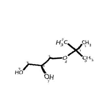 CC(C)(C)OCC(O)CO